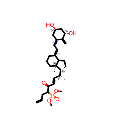 C=CCC(C(=O)/C=C/[C@@H](C)[C@H]1CCC2/C(=C/C=C3/C[C@@H](O)C[C@H](O)C3=C)CCC[C@@]21C)P(=O)(OC)OC